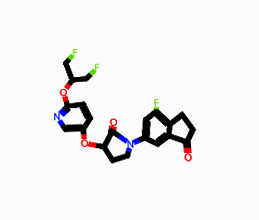 O=C1CCc2c(F)cc(N3CCC(Oc4ccc(OC(CF)CF)nc4)C3=O)cc21